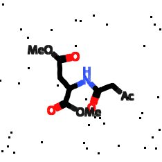 COC(=O)CC(NC(=O)CC(C)=O)C(=O)OC